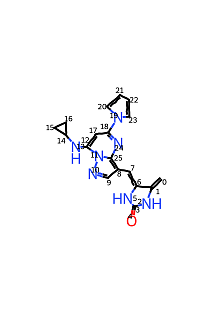 C=c1[nH]c(=O)[nH]/c1=C\c1cnn2c(NC3CC3)cc(-n3cccc3)nc12